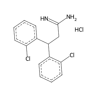 Cl.N=C(N)CC(c1ccccc1Cl)c1ccccc1Cl